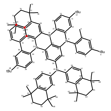 Cc1cc(C(C)(C)C)ccc1N1c2cc(C(C)(C)C)ccc2B2c3cc4c(cc3N(c3ccc(C(C)(C)C)cc3-c3ccccc3)c3cc(N(c5ccc6c(c5)C(C)(C)CCC6(C)C)c5ccc6c(c5)C(C)(C)CCC6(C)C)cc1c32)C(C)(C)CCC4(C)C